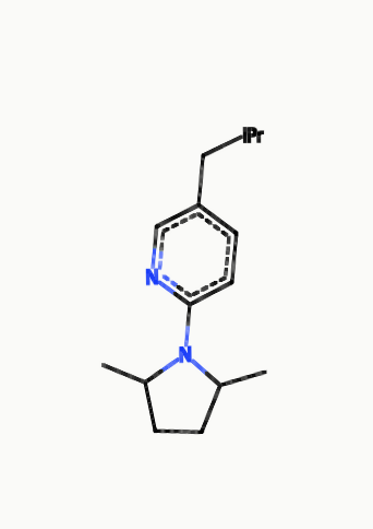 CC(C)Cc1ccc(N2C(C)CCC2C)nc1